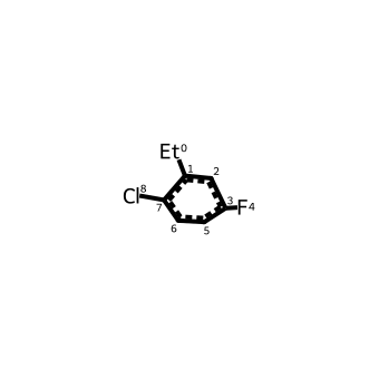 [CH2]Cc1cc(F)ccc1Cl